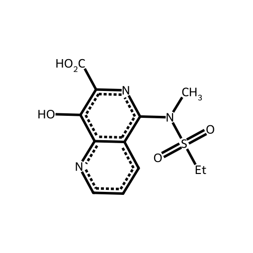 CCS(=O)(=O)N(C)c1nc(C(=O)O)c(O)c2ncccc12